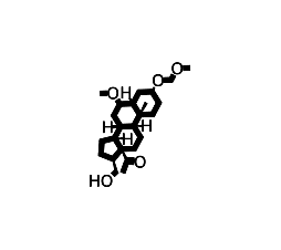 COCO[C@@H]1CC[C@@]2(C)[C@H](C1)C(OC)C[C@@H]1[C@@H]2CC[C@]2(C(C)=O)[C@@H](CO)CC[C@@H]12